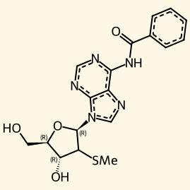 CSC1[C@H](n2cnc3c(NC(=O)c4ccccc4)ncnc32)O[C@H](CO)[C@H]1O